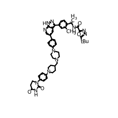 Cc1cc(-c2n[nH]c3ncc(-c4ccc(N5CCN(CC6CCN(c7ccc(N8CCC(=O)NC8=O)cc7)CC6)CC5)cc4)cc23)ccc1[C@@H](C)NC(=O)c1nnc(C(C)(C)C)o1